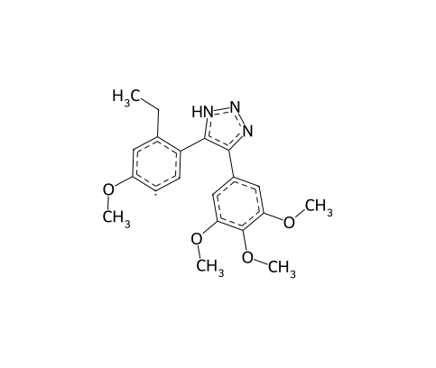 CCc1cc(OC)[c]cc1-c1[nH]nnc1-c1cc(OC)c(OC)c(OC)c1